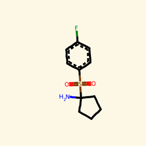 NC1(S(=O)(=O)c2ccc(F)cc2)CCCC1